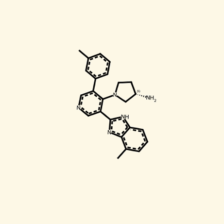 Cc1cccc(-c2cncc(-c3nc4c(C)cccc4[nH]3)c2N2CC[C@H](N)C2)c1